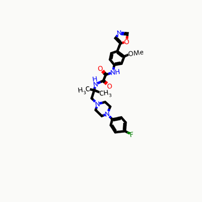 COc1cc(NC(=O)C(=O)NC(C)(C)CN2CCN(c3ccc(F)cc3)CC2)ccc1-c1cnco1